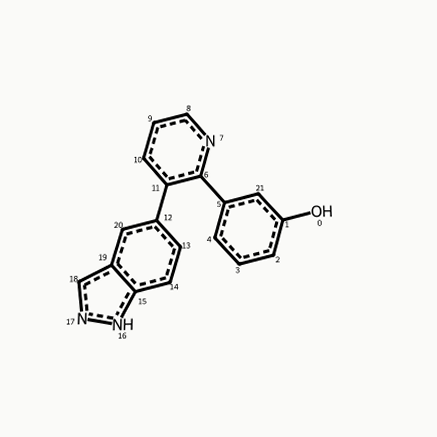 Oc1cccc(-c2ncccc2-c2ccc3[nH]ncc3c2)c1